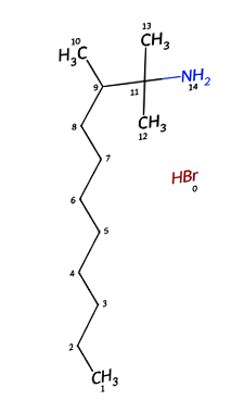 Br.CCCCCCCCC(C)C(C)(C)N